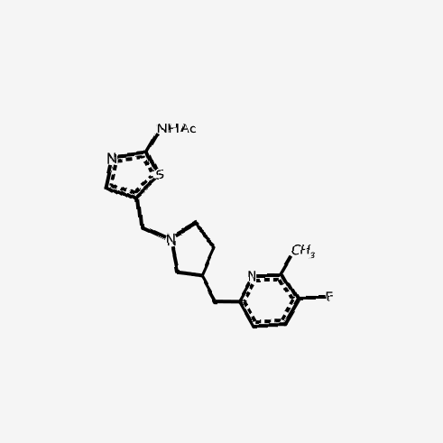 CC(=O)Nc1ncc(CN2CCC(Cc3ccc(F)c(C)n3)C2)s1